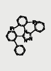 CC(C)c1cccc(C(C)C)c1-n1c(-c2ccccc2)nnc1-c1ccccc1-c1ccccc1